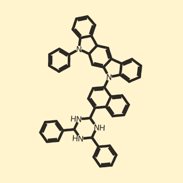 C1=c2c(n(-c3ccc(C4NC(c5ccccc5)NC(c5ccccc5)N4)c4ccccc34)c3ccccc23)=CC2C1c1ccccc1N2c1ccccc1